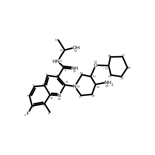 Cc1c(F)ccc2cc(C(=N)NC(C)O)c(N3CCC(N)C(OC4CCCCC4)C3)nc12